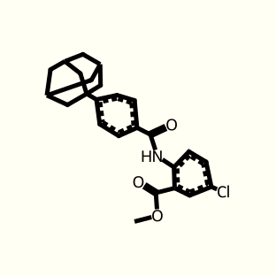 COC(=O)c1cc(Cl)ccc1NC(=O)c1ccc(C23CC4CC(CC(C4)C2)C3)cc1